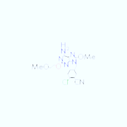 COCCOc1nc(N)c2nc(OC)n(Cc3ccc(Cl)c(C#N)c3)c2n1